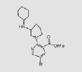 COC(=O)c1cc(Br)cnc1N1CCCC(NC2CCCCC2)C1